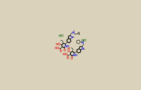 CCc1c(-c2ccc3c(c2)cc(CN(C)C2CCCC2)n3C)[nH]c(=O)c(C(=O)O)c1O.CCc1c(-c2ccc3c(c2)cc(CN(C)CC2CC2)n3C)[nH]c(=O)c(C(=O)O)c1O.Cl.Cl